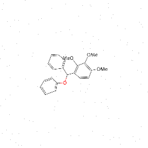 COc1ccc(C(Oc2[c]cccc2)c2ccccc2)c(OC)c1OC